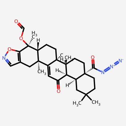 CC1(C)CC[C@]2(C(=O)N=[N+]=[N-])CC[C@]3(C)[C@H](C(=O)C=C4[C@@]5(C)Cc6cnoc6[C@@](C)(OC=O)[C@@H]5CC[C@]43C)[C@@H]2C1